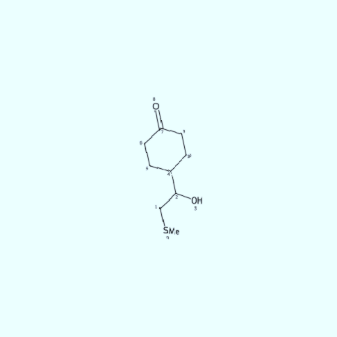 CSCC(O)C1CCC(=O)CC1